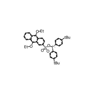 CCOc1c2ccccc2c(OCC)c2cc(S(=O)(=O)O[I+](c3ccc(C(C)(C)C)cc3)c3ccc(C(C)(C)C)cc3)ccc12